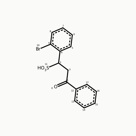 O=C(CC(c1ccccc1Br)S(=O)(=O)O)c1ccccc1